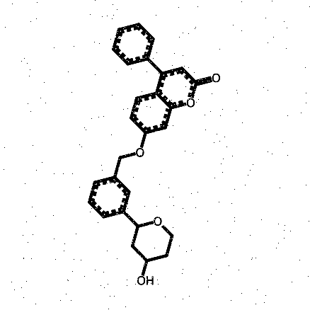 O=c1cc(-c2ccccc2)c2ccc(OCc3cccc(C4CC(O)CCO4)c3)cc2o1